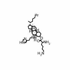 CC(C)CCCC(C)[C@H]1CC[C@H]2[C@@H]3C[C@@H](NCCc4c[nH]cn4)[C@@]4(O)C[C@@H](OC(=O)C(N)CCCCN)CC[C@]4(C)[C@H]3CC[C@]12C